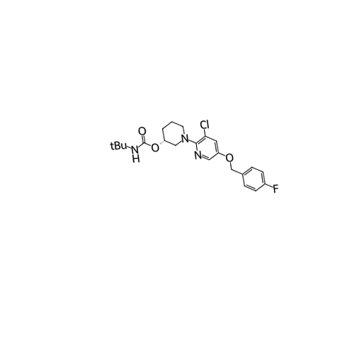 CC(C)(C)NC(=O)O[C@@H]1CCCN(c2ncc(OCc3ccc(F)cc3)cc2Cl)C1